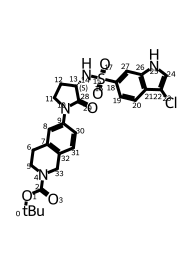 CC(C)(C)OC(=O)N1CCc2cc(N3CC[C@H](NS(=O)(=O)c4ccc5c(Cl)c[nH]c5c4)C3=O)ccc2C1